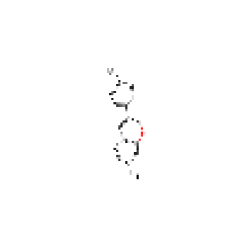 Cc1ccc(C2=Cc3ccc(C)cc3OC2)cc1